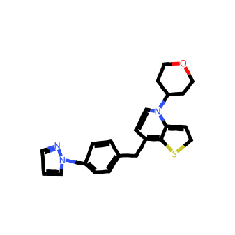 C1=CN(C2CCOCC2)C2=CCSC2=C1Cc1ccc(-n2cccn2)cc1